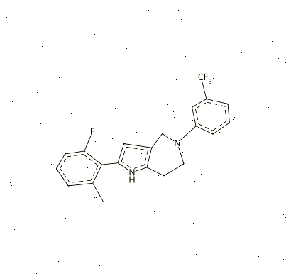 Cc1cccc(F)c1-c1cc2c([nH]1)CCN(c1cccc(C(F)(F)F)c1)C2